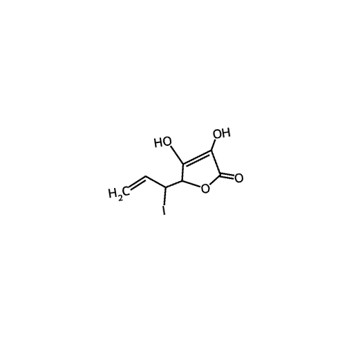 C=CC(I)C1OC(=O)C(O)=C1O